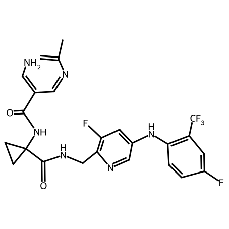 C=C(C)/N=C\C(=C/N)C(=O)NC1(C(=O)NCc2ncc(Nc3ccc(F)cc3C(F)(F)F)cc2F)CC1